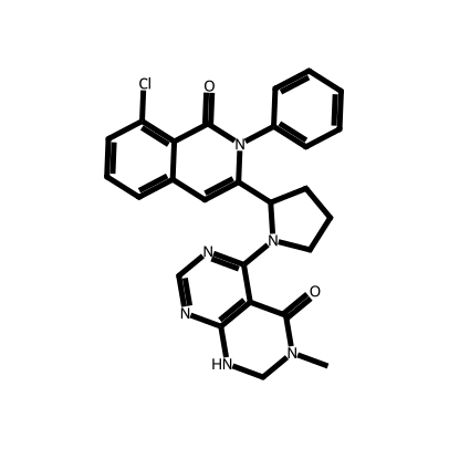 CN1CNc2ncnc(N3CCCC3c3cc4cccc(Cl)c4c(=O)n3-c3ccccc3)c2C1=O